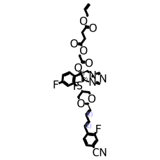 C=CCOC(=O)CCC(=O)OCC(=O)O[C@@](Cn1cncn1)(c1ccc(F)cc1F)[C@@H](C)S[C@H]1CO[C@H](/C=C/C=C/c2ccc(C#N)cc2F)OC1